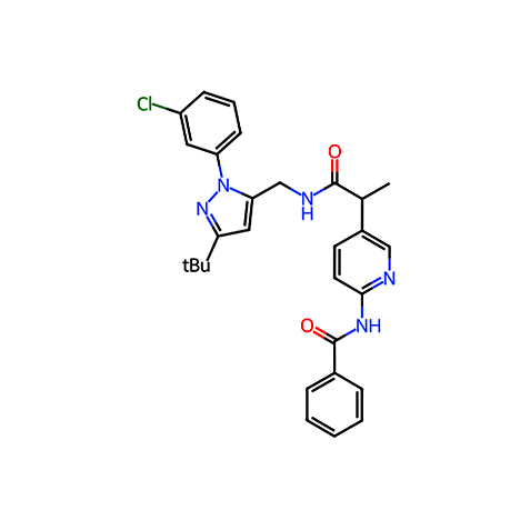 CC(C(=O)NCc1cc(C(C)(C)C)nn1-c1cccc(Cl)c1)c1ccc(NC(=O)c2ccccc2)nc1